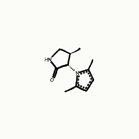 Cc1ccc(C)n1[C@@H]1C(=O)NC[C@H]1C